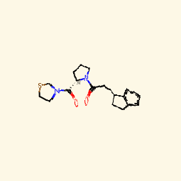 O=C([C@@H]1CCCN1C(=O)CC1CCc2ccccc21)N1CCSC1